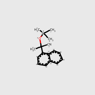 CC(C#N)(O[Si](C)(C)C)c1cccc2ccccc12